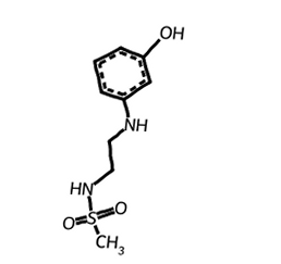 CS(=O)(=O)NCCNc1cccc(O)c1